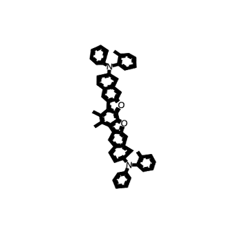 Cc1ccccc1N(c1ccccc1)c1ccc2cc3c(cc2c1)oc1c2oc4cc5cc(N(c6ccccc6)c6ccccc6C)ccc5cc4c2c(C)c(C)c31